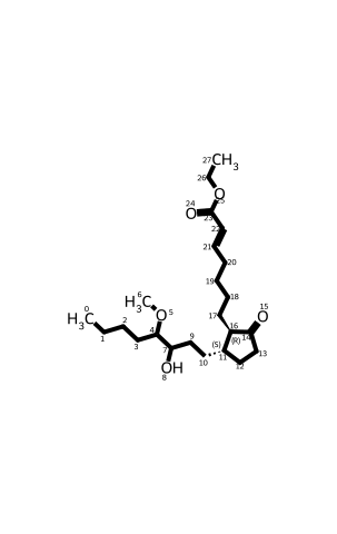 CCCCC(OC)C(O)CC[C@H]1CCC(=O)[C@@H]1CCCCC=CC(=O)OCC